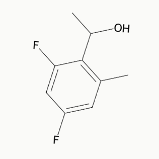 Cc1cc(F)cc(F)c1C(C)O